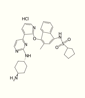 Cc1cc(NS(=O)(=O)C2CCCC2)c2ccccc2c1Oc1ncccc1-c1ccnc(N[C@H]2CC[C@H](N)CC2)n1.Cl